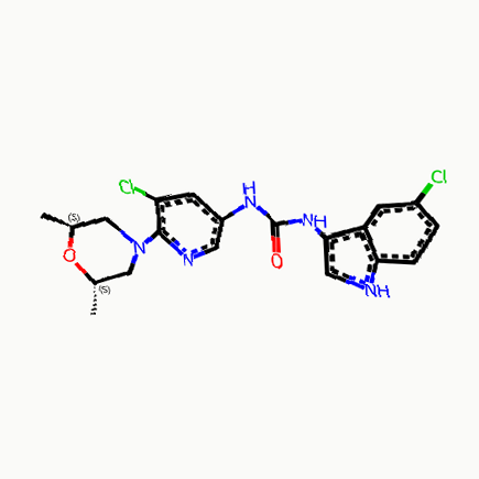 C[C@H]1CN(c2ncc(NC(=O)Nc3c[nH]c4ccc(Cl)cc34)cc2Cl)C[C@H](C)O1